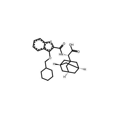 O=C(N[C@H](C(=O)O)C12C[C@H]3C[C@H](C1)C[C@@H](C2)C3)c1sc2ccccc2c1OCC1CCCCC1